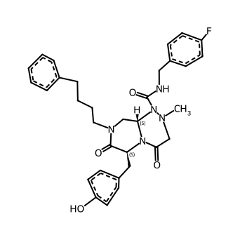 CN1CC(=O)N2[C@@H](Cc3ccc(O)cc3)C(=O)N(CCCCc3ccccc3)C[C@@H]2N1C(=O)NCc1ccc(F)cc1